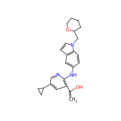 C=C(O)c1cc(C2CC2)cnc1Nc1ccc2c(ccn2CC2CCCCO2)c1